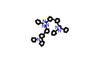 c1ccc(-c2cc(-c3cccc(-c4cccc(-c5nc(-c6ccccc6)nc(-c6cccc(-c7ccc8c(c7)c7ccccc7n8-c7ccccc7)c6)n5)c4)c3)nc(-c3ccccc3)n2)cc1